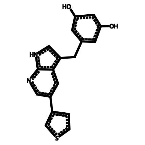 Oc1cc(O)cc(Cc2c[nH]c3ncc(-c4ccsc4)cc23)c1